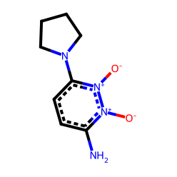 Nc1ccc(N2CCCC2)[n+]([O-])[n+]1[O-]